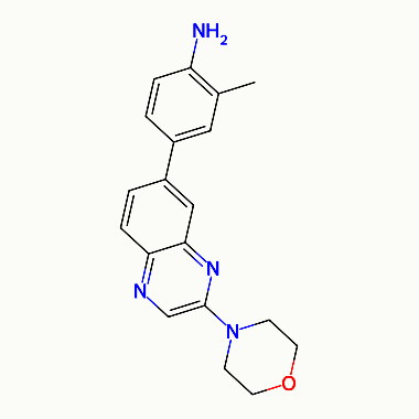 Cc1cc(-c2ccc3ncc(N4CCOCC4)nc3c2)ccc1N